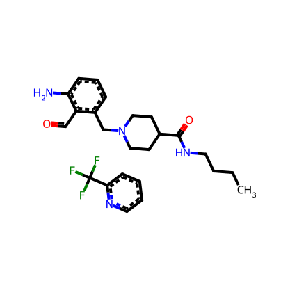 CCCCNC(=O)C1CCN(Cc2cccc(N)c2C=O)CC1.FC(F)(F)c1ccccn1